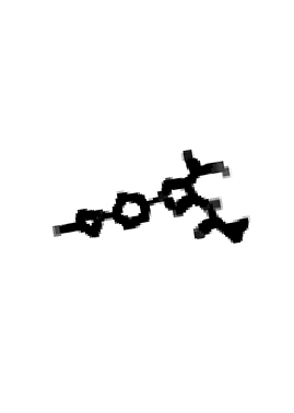 NC(=O)c1cn([C@H]2CC[C@H](N3CC(F)C3)CC2)nc1NC(=O)C1CC1